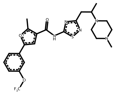 Cc1oc(-c2cccc(OC(F)(F)F)c2)cc1C(=O)Nc1nc(CC(C)N2CCN(C)CC2)ns1